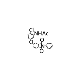 CC(=O)Nc1cc(Oc2ccc3c(c2)C(=O)N(c2ccccc2)C3=O)ccc1Cl